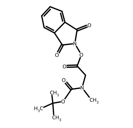 CN(CC(=O)ON1C(=O)c2ccccc2C1=O)C(=O)OC(C)(C)C